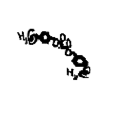 COc1ccc(COC(=O)[CH]C(=O)OCc2ccc(OC)cc2)cc1